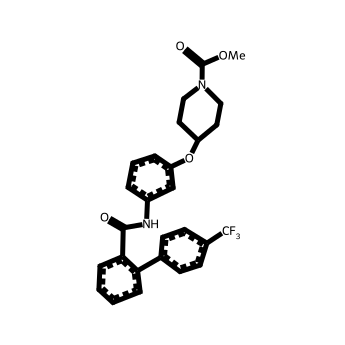 COC(=O)N1CCC(Oc2cccc(NC(=O)c3ccccc3-c3ccc(C(F)(F)F)cc3)c2)CC1